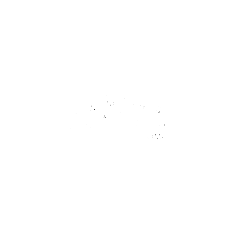 COC(=O)c1cc2sc(N(C)C(=O)Nc3ccccc3F)cc2oc1=O